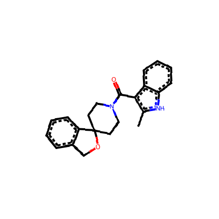 Cc1[nH]c2ccccc2c1C(=O)N1CCC2(CC1)OCc1ccccc12